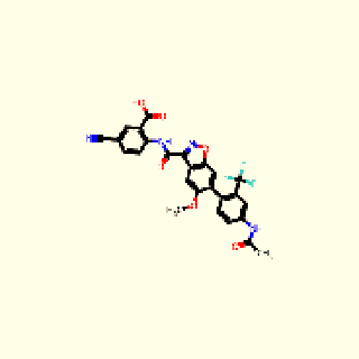 COc1cc2c(C(=O)Nc3ccc(C#N)cc3C(=O)O)noc2cc1-c1ccc(NC(C)=O)cc1C(F)(F)F